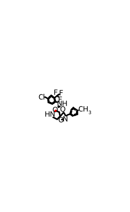 Cc1ccc(C2=NOC3(CCNCC3)C2OC(=O)Nc2ccc(Cl)cc2C(F)(F)F)cc1